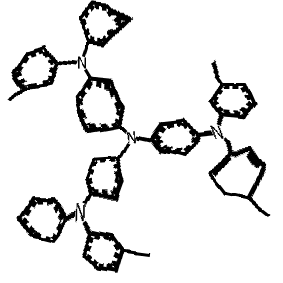 Cc1cccc(N(C2=CCC(C)C=C2)c2ccc(N(c3ccc(N(c4ccccc4)c4cccc(C)c4)cc3)c3ccc(N(c4ccccc4)c4cccc(C)c4)cc3)cc2)c1